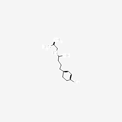 C=C(N)CNC(O)CCCC1=CC=C(C(C)C)CC1